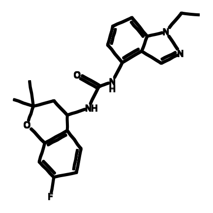 CCn1ncc2c(NC(=O)NC3CC(C)(C)Oc4cc(F)ccc43)cccc21